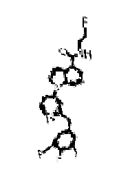 O=C(NCCF)c1cccc2c1CCN2c1ccnc(Cc2cc(F)c(F)c(F)c2)c1